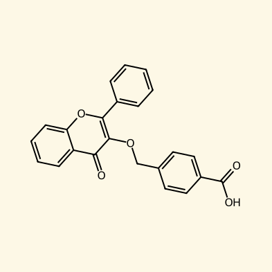 O=C(O)c1ccc(COc2c(-c3ccccc3)oc3ccccc3c2=O)cc1